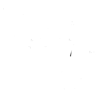 N[C@H]1CC(=O)N(c2ccc3c(cnn3-c3ccc(F)cc3)c2)[C@@H]1CCc1ccccc1